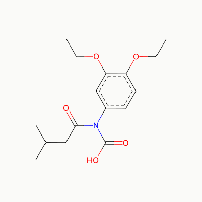 CCOc1ccc(N(C(=O)O)C(=O)CC(C)C)cc1OCC